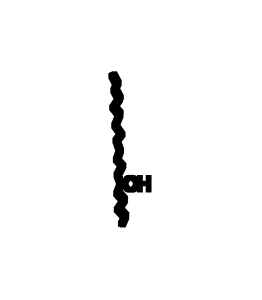 C=CC=CC=CCCCCCCC[C@H](O)C=CC=CC